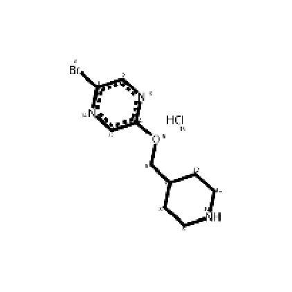 Brc1cnc(OCC2CCNCC2)cn1.Cl